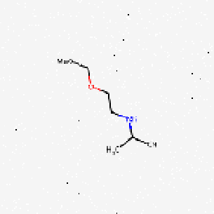 COCOCCNC(C)C#N